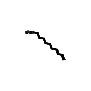 [CH]=C/C=C/CCCCCCCCCCC